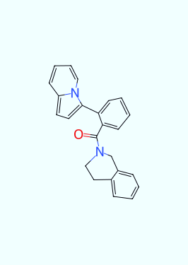 O=C(c1ccccc1-c1ccc2ccccn12)N1CCc2ccccc2C1